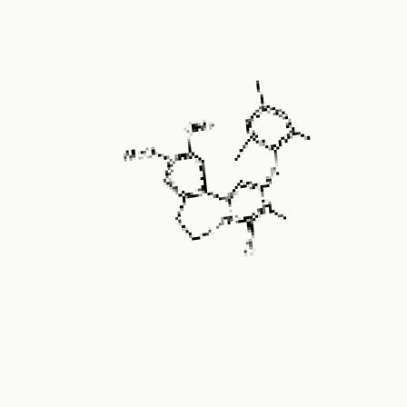 COc1cc2c(cc1OC)-c1cc(=Nc3c(C)cc(C)cc3C)n(C)c(=O)n1CCC2